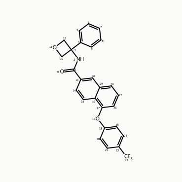 O=C(NC1(c2ccccc2)COC1)c1ccc2c(Oc3ccc(C(F)(F)F)cc3)cccc2c1